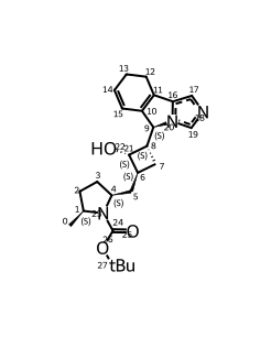 C[C@H]1CC[C@@H](C[C@@H]2C[C@@H]([C@H]3C4=C(CCC=C4)c4cncn43)[C@H]2O)N1C(=O)OC(C)(C)C